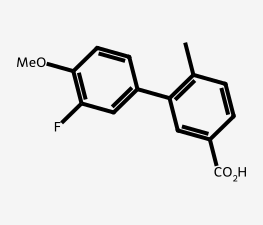 COc1ccc(-c2cc(C(=O)O)ccc2C)cc1F